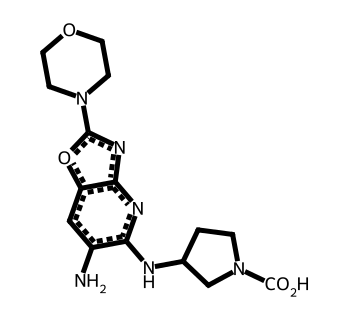 Nc1cc2oc(N3CCOCC3)nc2nc1NC1CCN(C(=O)O)C1